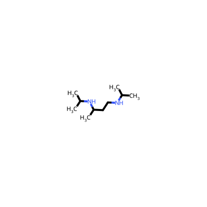 CC(C)NCCC(C)NC(C)C